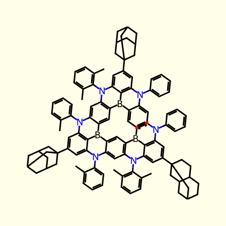 Cc1ccccc1N1c2cc3c(cc2B2c4cc5c(cc4N(c4ccccc4C)c4cc(C67CC8CC(CC(C8)C6)C7)cc1c42)N(c1c(C)cccc1C)c1cc(C24CCC6CCC(CC6C2)C4)cc2c1B5c1ccccc1N2c1ccccc1)B1c2ccccc2N(c2ccccc2)c2cc(C45CC6CC(CC(C6)C4)C5)cc(c21)N3c1c(C)cccc1C